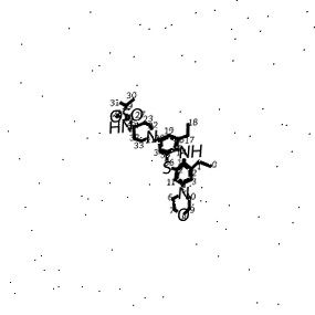 CCc1cc(N2CCOCC2)cc2c1Nc1c(CC)cc(N3CCC(NS(=O)(=O)C(C)C)CC3)cc1S2